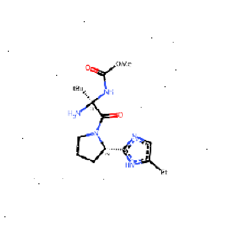 CCc1cnc([C@@H]2CCCN2C(=O)[C@@](N)(NC(=O)OC)C(C)(C)C)[nH]1